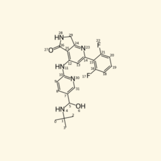 CC(C)(C)NC(O)c1ccc(Nc2cc(-c3c(F)cccc3F)nc3c2C(=O)NC3)nc1